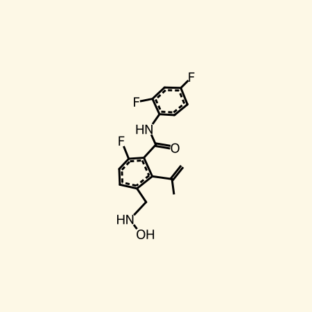 C=C(C)c1c(CNO)ccc(F)c1C(=O)Nc1ccc(F)cc1F